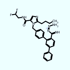 CCCCc1ncc(C(=O)NCC(F)F)n1Cc1ccc(-c2cc(-c3ccccc3)ccc2C(=N)/N=N\N)cc1